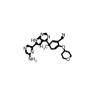 CC1(c2ncnc3[nH]c(-c4cncc(N)n4)cc23)C=C(C#N)C(OC2CCOCC2)=CC1